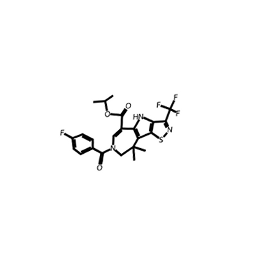 CC(C)OC(=O)C1=CN(C(=O)c2ccc(F)cc2)CC(C)(C)c2c1[nH]c1c(C(F)(F)F)nsc21